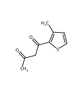 CC(=O)CC(=O)c1sccc1C